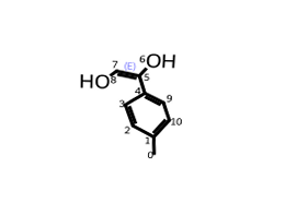 Cc1ccc(/C(O)=C\O)cc1